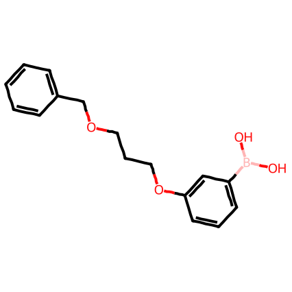 OB(O)c1cccc(OCCCOCc2ccccc2)c1